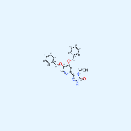 N#CCn1c(-c2cc(OCc3ccccc3)c(OCc3ccccc3)cn2)n[nH]c1=O